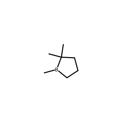 CB1CCCC1(C)C